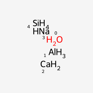 O.[AlH3].[CaH2].[NaH].[SiH4]